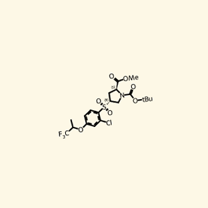 COC(=O)[C@@H]1C[C@@H](S(=O)(=O)c2ccc(OC(C)C(F)(F)F)cc2Cl)CN1C(=O)OC(C)(C)C